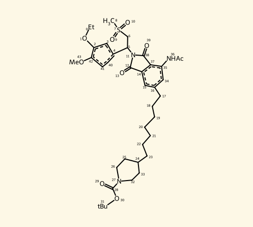 CCOc1cc(C(CS(C)(=O)=O)N2C(=O)c3cc(CCCCCCCC4CCN(C(=O)OC(C)(C)C)CC4)cc(NC(C)=O)c3C2=O)ccc1OC